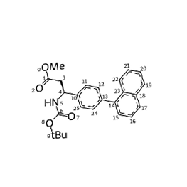 COC(=O)C[C@H](NC(=O)OC(C)(C)C)c1ccc(-c2cccc3ccccc23)cc1